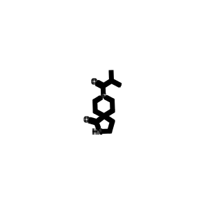 CC(C)C(=O)N1CCC2(CCNC2=O)CC1